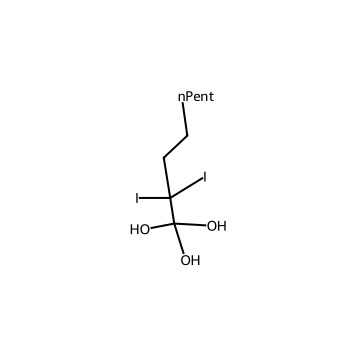 CCCCCCCC(I)(I)C(O)(O)O